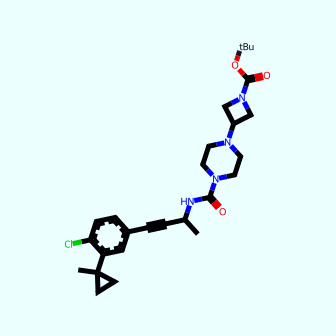 CC(C#Cc1ccc(Cl)c(C2(C)CC2)c1)NC(=O)N1CCN(C2CN(C(=O)OC(C)(C)C)C2)CC1